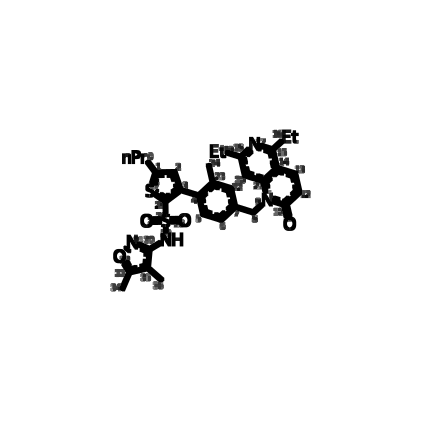 CCCc1cc(-c2ccc(Cn3c(=O)ccc4c(CC)nc(CC)cc43)cc2C)c(S(=O)(=O)Nc2noc(C)c2C)s1